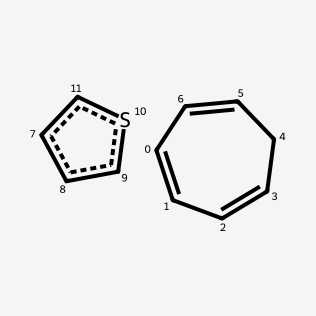 C1=CC=CCC=C1.c1ccsc1